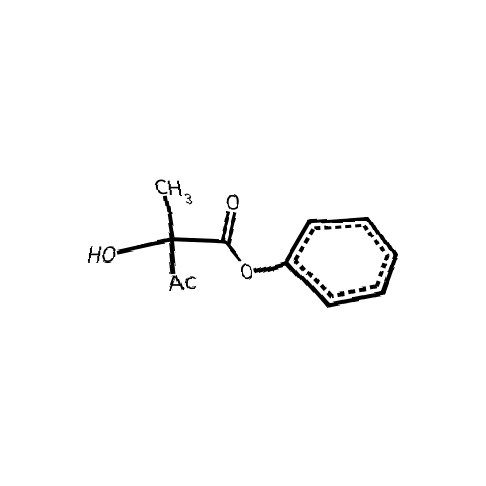 CC(=O)C(C)(O)C(=O)Oc1ccccc1